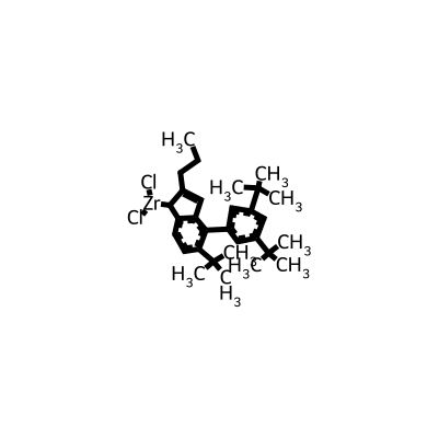 CCCC1=Cc2c(ccc(C(C)(C)C)c2-c2cc(C(C)(C)C)cc(C(C)(C)C)c2)[CH]1[Zr]([Cl])[Cl]